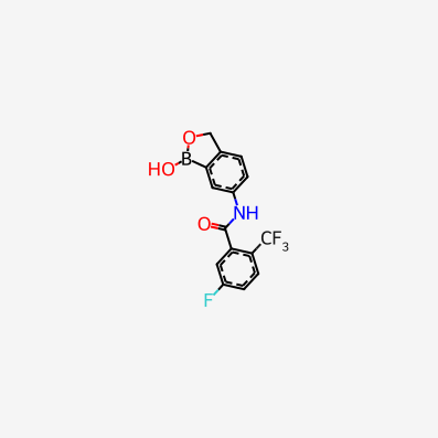 O=C(Nc1ccc2c(c1)B(O)OC2)c1cc(F)ccc1C(F)(F)F